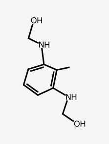 Cc1c(NCO)cccc1NCO